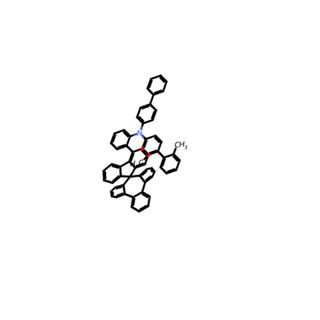 Cc1ccccc1-c1ccc(N(c2ccc(-c3ccccc3)cc2)c2ccccc2-c2cccc3c2-c2ccccc2C32c3ccccc3-c3ccccc3-c3ccccc32)cc1C